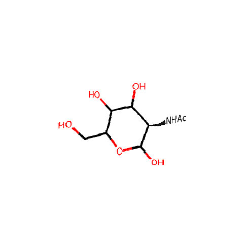 CC(=O)N[C@H]1C(O)OC(CO)C(O)C1O